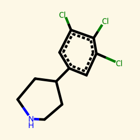 Clc1cc(C2CCNCC2)cc(Cl)c1Cl